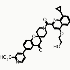 O=C(O)c1cc(-c2ccc3c(c2)C(=O)CC2(CCN(C(=O)c4cc(OCCO)c5cccc(C6CC6)c5n4)CC2)O3)ccn1